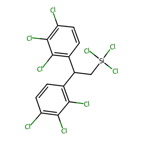 Clc1ccc(C(C[Si](Cl)(Cl)Cl)c2ccc(Cl)c(Cl)c2Cl)c(Cl)c1Cl